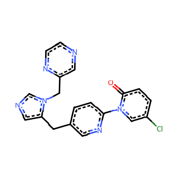 O=c1ccc(Cl)cn1-c1ccc(Cc2cncn2Cc2cnccn2)cn1